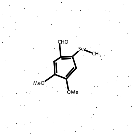 COc1cc(C=O)c([Se]C)cc1OC